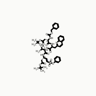 CC(C)[C@H](NC(=O)C(Cc1ccc2ccccc2n1)NC(=O)[C@H](CC(=O)OC(C)(C)C)NC(=O)OCc1ccccc1)C(=O)N[C@H](/C=C/S(=O)(=O)Oc1ccccc1)CC(=O)OC(C)(C)C